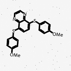 COc1ccc(Sc2ccc(Sc3ccc(OC)cc3)c3nccnc23)cc1